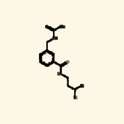 CCN(CC)CCNC(=O)c1cccc(CNC(=O)C(C)(C)C)c1